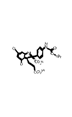 CCCOC(=O)Nc1ccc(C2(C(=O)O)N=c3cc(Cl)cc(Cl)c3=C2C=CC(=O)O)cc1